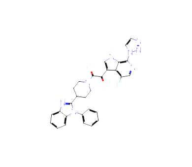 O=C(C(=O)N1CCC(c2nc3ccccc3n2-c2ccccc2)CC1)c1c[nH]c2c(-n3ccnn3)ncc(F)c12